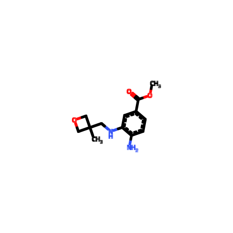 COC(=O)c1ccc(N)c(NCC2(C)COC2)c1